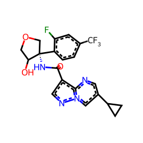 O=C(N[C@@]1(c2ccc(C(F)(F)F)cc2F)COCC1O)c1cnn2cc(C3CC3)cnc12